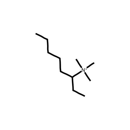 CCCCCC(CC)[N+](C)(C)C